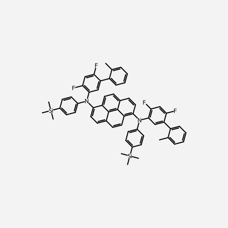 Cc1ccccc1-c1cc(N(c2ccc([Si](C)(C)C)cc2)c2ccc3ccc4c(N(c5ccc([Si](C)(C)C)cc5)c5cc(-c6ccccc6C)c(F)cc5F)ccc5ccc2c3c54)c(F)cc1F